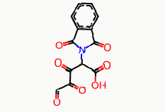 O=CC(=O)C(=O)C(C(=O)O)N1C(=O)c2ccccc2C1=O